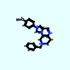 COc1ccc(N2C=C3C=NC4=C(CN(Cc5ccccc5)CC4)N3C2)cc1